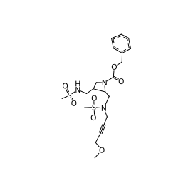 COCC#CCN(CC1C(CNS(C)(=O)=O)CN1C(=O)OCc1ccccc1)S(C)(=O)=O